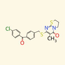 Cc1c(SCc2ccc(C(=O)c3ccc(Cl)cc3)cc2)nc2n(c1=O)CCCS2